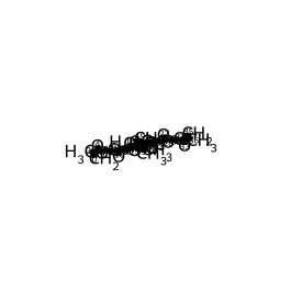 C=C(C)C(=O)OCCOC(=O)CCC(=O)OC1C(C)(C)C(OC(=O)CCC(=O)OCCOC(=O)C(=C)C)C1(C)C